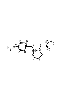 NC(=O)CC1CCCCN1Cc1ccc(C(F)(F)F)cc1